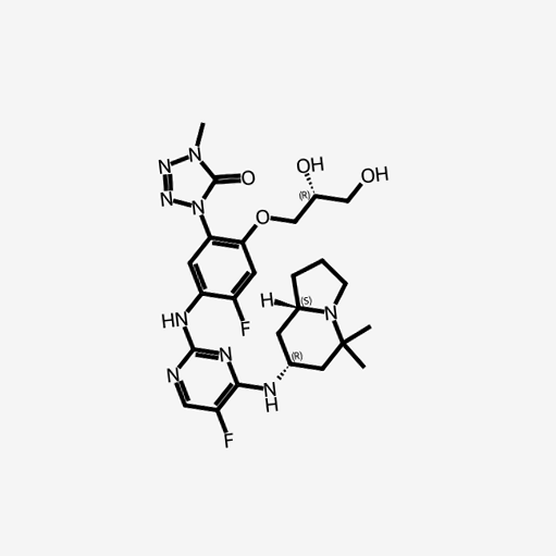 Cn1nnn(-c2cc(Nc3ncc(F)c(N[C@@H]4C[C@@H]5CCCN5C(C)(C)C4)n3)c(F)cc2OC[C@H](O)CO)c1=O